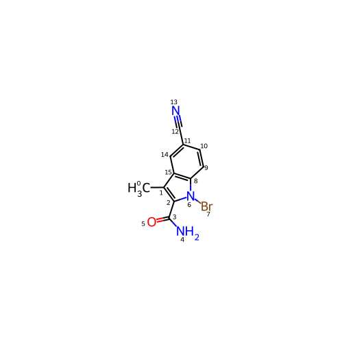 Cc1c(C(N)=O)n(Br)c2ccc(C#N)cc12